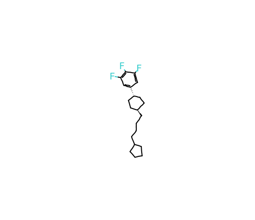 Fc1cc([C@H]2CC[C@H](CCCCC3CCCC3)CC2)cc(F)c1F